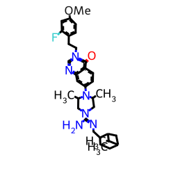 COc1ccc(CCn2cnc3cc(N4C(C)CN(C(N)=NCC5CCC6CC5C6(C)C)CC4C)ccc3c2=O)c(F)c1